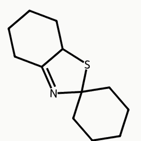 C1CCC2(CC1)N=C1CCCCC1S2